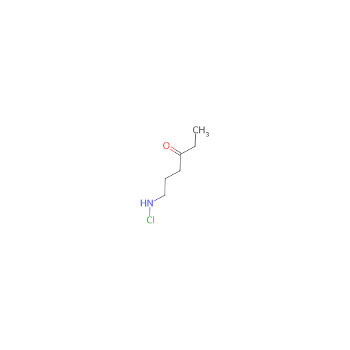 CCC(=O)CCCNCl